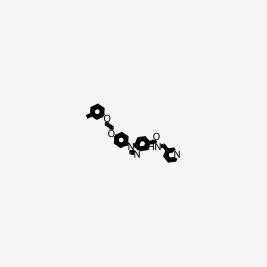 Cc1cccc(OCCOc2ccc(-n3cnc4cc(C(=O)NCc5cccnc5)ccc43)cc2)c1